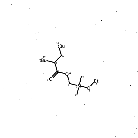 CCO[Si](C)(C)COC(=O)C(CC(C)(C)C)C(C)(C)C